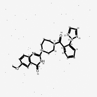 COc1ccc2nc(N3CCCN(C(=O)c4ccccc4-n4nccn4)CC3)[nH]c(=O)c2c1